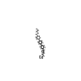 CC=CCC[C@H]1CC[C@H](c2ccc(-c3ccc(COCC=CCC)cc3)cc2)CC1